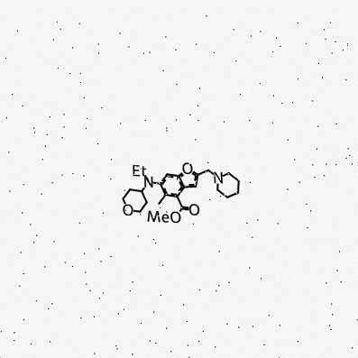 CCN(c1cc2oc(CN3CCCCC3)cc2c(C(=O)OC)c1C)C1CCOCC1